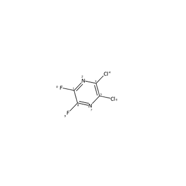 Fc1nc(Cl)c(Cl)nc1F